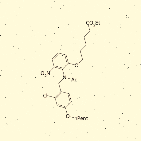 CCCCCOc1ccc(CN(C(C)=O)c2c(OCCCCCC(=O)OCC)cccc2[N+](=O)[O-])c(Cl)c1